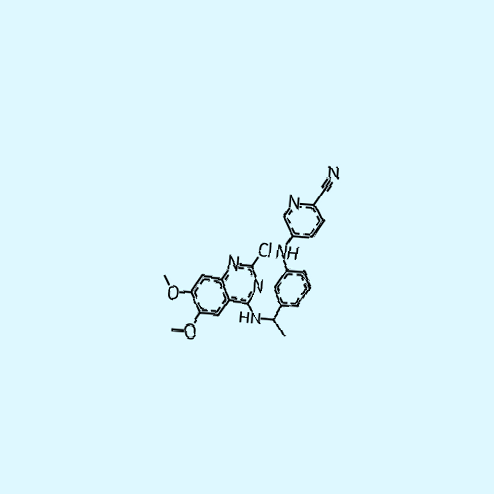 COc1cc2nc(Cl)nc(NC(C)c3cccc(Nc4ccc(C#N)nc4)c3)c2cc1OC